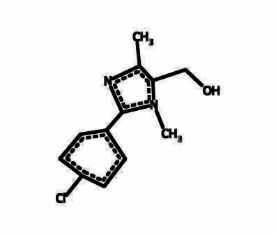 Cc1nc(-c2ccc(Cl)cc2)n(C)c1CO